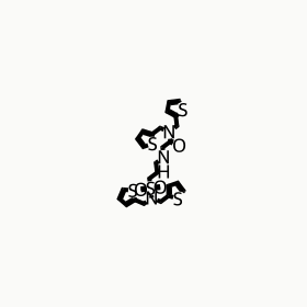 O=C(CNCCCS(=O)(=O)N(Cc1cccs1)Cc1cccs1)N(Cc1cccs1)Cc1cccs1